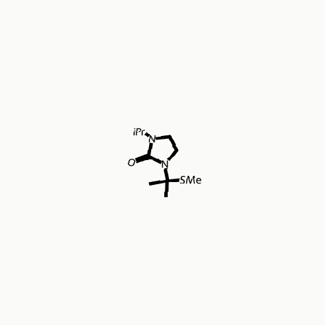 CSC(C)(C)N1CCN(C(C)C)C1=O